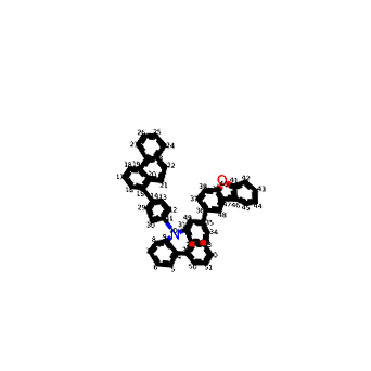 c1ccc(-c2ccccc2N(c2ccc(-c3cccc4c3ccc3ccccc34)cc2)c2cccc(-c3ccc4oc5ccccc5c4c3)c2)cc1